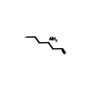 [AlH3].[CH2]CCCCC=C